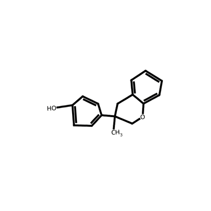 CC1(c2ccc(O)cc2)COc2ccccc2C1